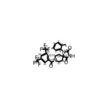 Cc1ccccc1N1C(=O)NC(=O)C12CCN(C(=O)c1cc(C(F)(F)F)cc(C(F)(F)F)c1)CC2